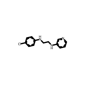 Clc1ccc(NCCNc2cccnc2)cc1